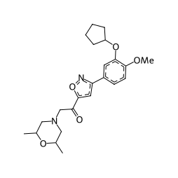 COc1ccc(-c2cc(C(=O)CN3CC(C)OC(C)C3)on2)cc1OC1CCCC1